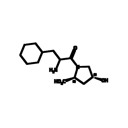 NC(CC1CCCCC1)C(=O)N1C[C@H](O)C[C@H]1C(=O)O